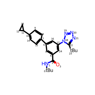 CC(C)(C)NC(=O)c1cc(-c2ccc(C3CC3)cc2)cc(-n2nnnc2C(C)(C)C)c1